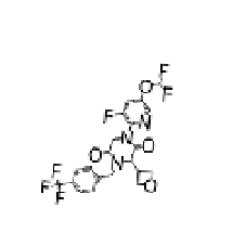 O=C1C(C2COC2)N(Cc2ccc(C(F)(F)F)cc2)C(=O)CN1c1ncc(OC(F)F)cc1F